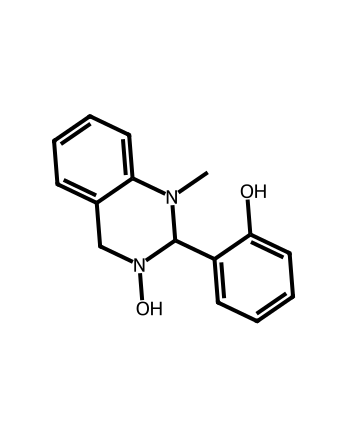 CN1c2ccccc2CN(O)C1c1ccccc1O